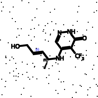 C[C@H](/C=C/CO)Nc1cn[nH]c(=O)c1C(F)(F)F